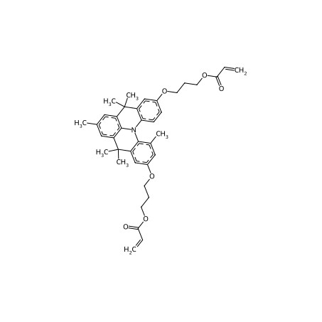 C=CC(=O)OCCCOc1ccc2c(c1)C(C)(C)c1cc(C)cc3c1N2c1c(C)cc(OCCCOC(=O)C=C)cc1C3(C)C